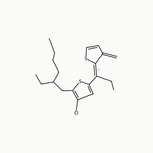 C=c1ccs/c1=C(/CC)c1cc(Cl)c(CC(CC)CCCC)s1